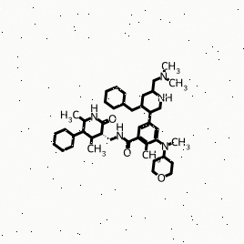 Cc1c(C(=O)NC[C@H]2C(=O)NC(C)C(C3CCCCC3)C2C)cc(C2CNC(CN(C)C)CC2CC2CCCCC2)cc1N(C)C1CCOCC1